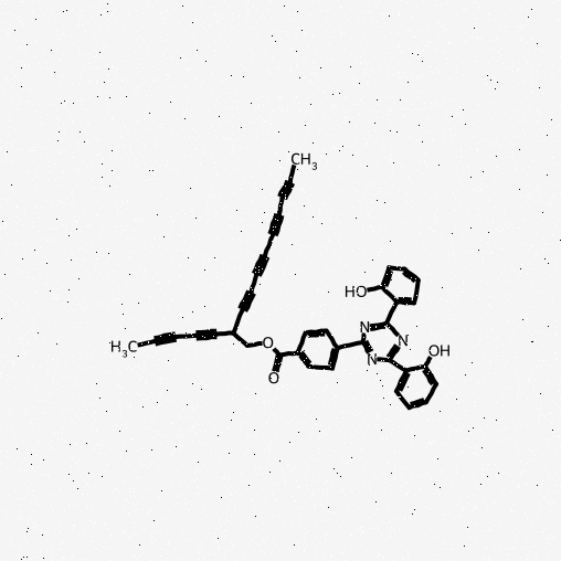 CC#CC#CC#CC#CC(C#CC#CC)COC(=O)c1ccc(-c2nc(-c3ccccc3O)nc(-c3ccccc3O)n2)cc1